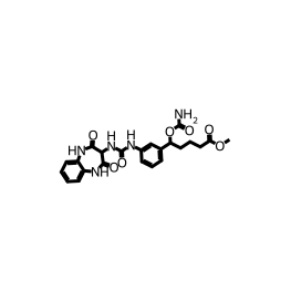 COC(=O)CCCC(OC(N)=O)c1cccc(NC(=O)NC2C(=O)Nc3ccccc3NC2=O)c1